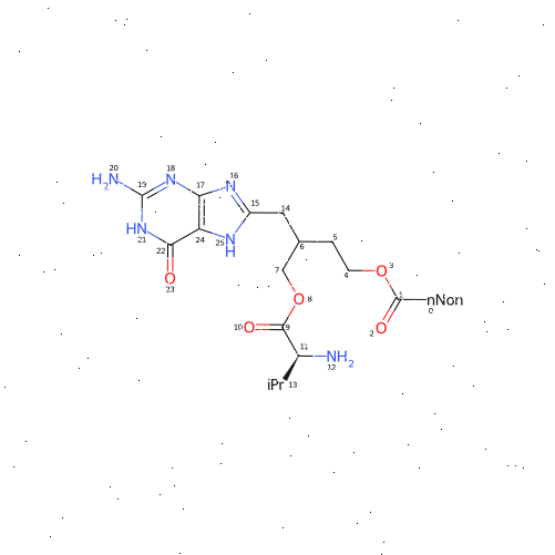 CCCCCCCCCC(=O)OCCC(COC(=O)[C@@H](N)C(C)C)Cc1nc2nc(N)[nH]c(=O)c2[nH]1